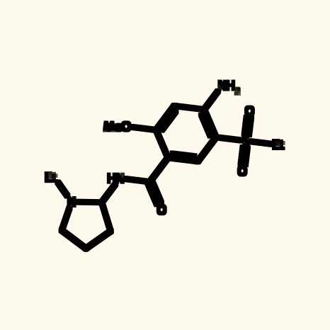 CCN1CCCC1NC(=O)c1cc(S(=O)(=O)CC)c(N)cc1OC